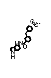 O=C(Nc1ccc2[nH]ccc2c1)c1cccc(Cc2ccc([N+](=O)[O-])cc2)c1